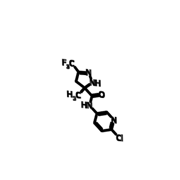 CC1(C(=O)Nc2ccc(Cl)nc2)CC(C(F)(F)F)=NN1